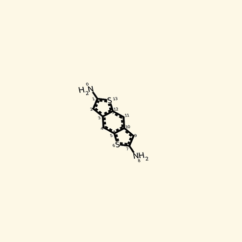 Nc1cc2cc3sc(N)cc3cc2s1